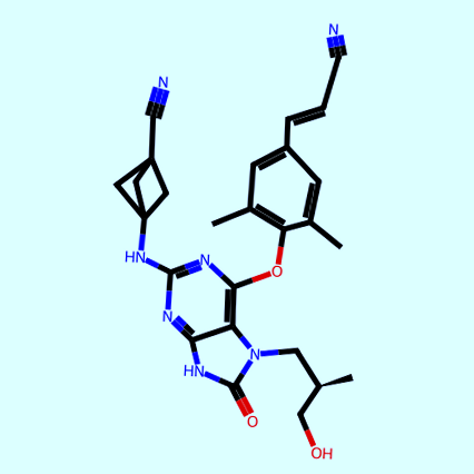 Cc1cc(/C=C/C#N)cc(C)c1Oc1nc(NC23CC(C#N)(C2)C3)nc2[nH]c(=O)n(C[C@@H](C)CO)c12